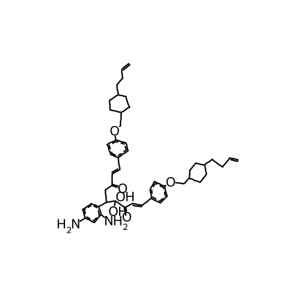 C=CCCC1CCC(COc2ccc(/C=C/C(=O)CC(c3ccc(N)cc3N)C(O)(O)C(=O)/C=C/c3ccc(OCC4CCC(CCC=C)CC4)cc3)cc2)CC1